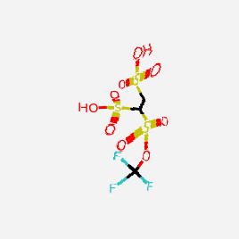 O=S(=O)(O)CC(S(=O)(=O)O)S(=O)(=O)OC(F)(F)F